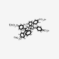 CCOC(=O)c1ccc(C2=NC(c3ccccc3C)(C3(c4ccccc4C)N=C(c4ccc(C(=O)OCC)cc4)C(c4ccc(C(=O)OCC)cc4)=N3)N=C2c2ccc(C(=O)OCC)cc2)cc1